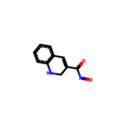 O=NC(=O)C1=Cc2ccccc2NC1